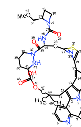 CCn1c(-c2cccnc2[C@H](C)OC)c2c3cc(ccc31)-c1csc(n1)C[C@H](NC(=O)N1CC[C@@H]1COC)C(=O)N1CCC[C@@](O)(N1)C(=O)OCC(C)(C)C2